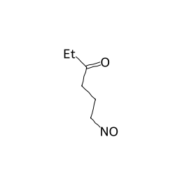 CCC(=O)CCCN=O